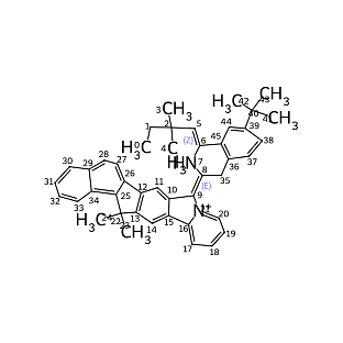 CCC(C)(C)/C=C1\N/C(=C2\c3cc4c(cc3-c3cccc[n+]32)C(C)(C)c2c-4ccc3ccccc23)Cc2ccc(C(C)(C)C)cc21